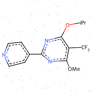 COc1nc(-c2ccncc2)nc(OC(C)C)c1C(F)(F)F